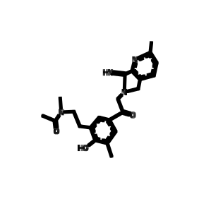 CC(=O)N(C)CCc1cc(C(=O)CN2Cc3ccc(C)nc3C2=N)cc(C)c1O